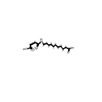 O=C(O)/C=C\C(=O)NCCCCCCCCCCC(=O)O